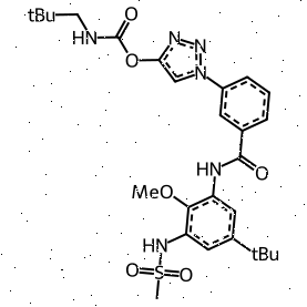 COc1c(NC(=O)c2cccc(-n3cc(OC(=O)NCC(C)(C)C)nn3)c2)cc(C(C)(C)C)cc1NS(C)(=O)=O